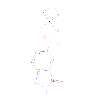 CC1(NS(=O)(=O)c2ccc3n[nH]c(=O)n3c2)COC1